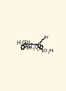 CC[N+]1=C(/C=C/C=C/C=C2/N(CCCCC(C)C)c3ccc(S(=O)(=O)O)cc3C2(C)C)C(C)(C)c2ccccc21